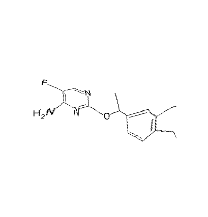 Cc1ccc(C(C)Oc2ncc(F)c(N)n2)cc1C